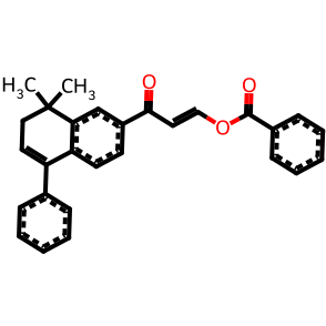 CC1(C)CC=C(c2ccccc2)c2ccc(C(=O)C=COC(=O)c3ccccc3)cc21